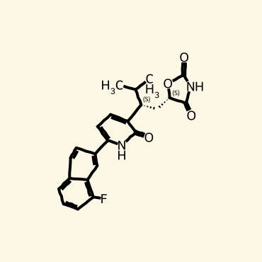 CC(C)[C@H](C[C@@H]1OC(=O)NC1=O)c1ccc(-c2ccc3cccc(F)c3c2)[nH]c1=O